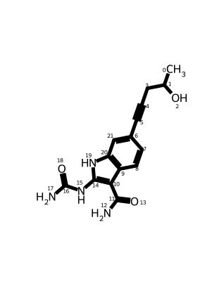 CC(O)CC#Cc1ccc2c(C(N)=O)c(NC(N)=O)[nH]c2c1